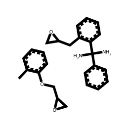 Cc1ccccc1OCC1CO1.NC(N)(c1ccccc1)c1ccccc1CC1CO1